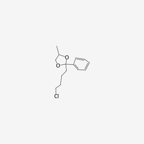 CC1COC(CCCCCl)(c2ccccc2)O1